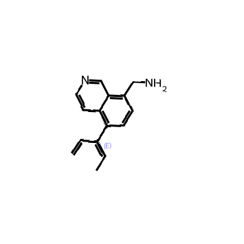 C=C/C(=C\C)c1ccc(CN)c2cnccc12